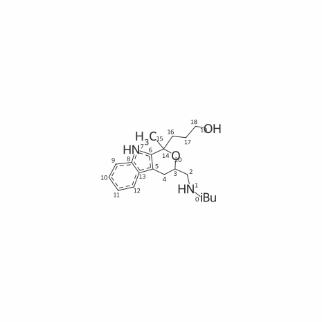 CCC(C)NCC1Cc2c([nH]c3ccccc23)C(C)(CCCO)O1